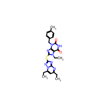 CCc1cc(CC)n2nc(Sc3nc4c(c(=O)[nH]c(=O)n4Cc4ccc(C)cc4)n3CC)nc2n1